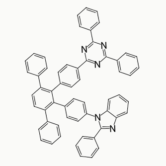 c1ccc(-c2nc(-c3ccccc3)nc(-c3ccc(-c4c(-c5ccccc5)ccc(-c5ccccc5)c4-c4ccc(-n5c(-c6ccccc6)nc6ccccc65)cc4)cc3)n2)cc1